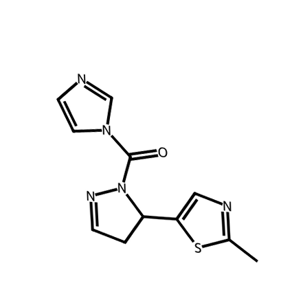 Cc1ncc(C2CC=NN2C(=O)n2ccnc2)s1